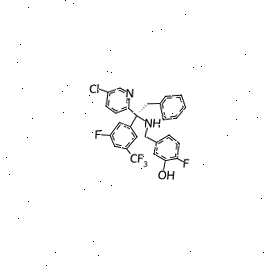 Oc1cc(CN[C@@](Cc2ccccc2)(c2cc(F)cc(C(F)(F)F)c2)c2ccc(Cl)cn2)ccc1F